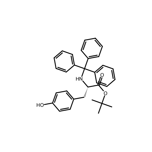 CC(C)(C)OC(=O)[C@H](Cc1ccc(O)cc1)NC(c1ccccc1)(c1ccccc1)c1ccccc1